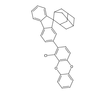 Clc1c(-c2ccc3c(c2)C2(c4ccccc4-3)C3CC4CC(C3)CC2C4)ccc2c1Oc1ccccc1O2